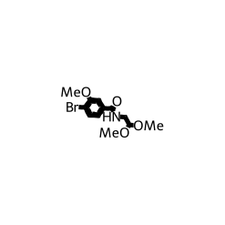 COc1cc(C(=O)NCC(OC)OC)ccc1Br